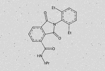 CCCNC(=O)c1cccc2c1C(=O)N(c1c(CC)cccc1CC)C2=O